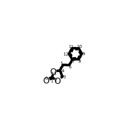 O=C1OCC(CCc2ccccc2)O1